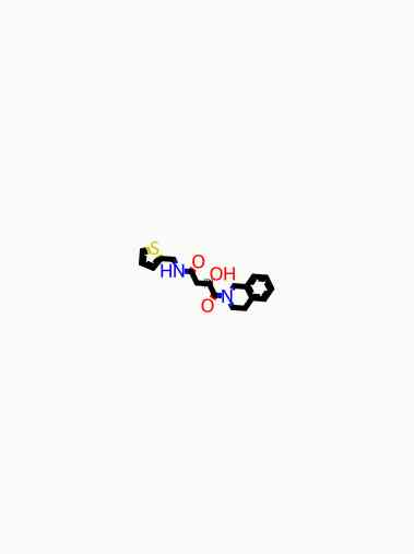 O=C(C[C@@H](O)C(=O)N1CCc2ccccc2C1)NCc1cccs1